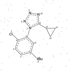 CC(C)(C)c1ccc(Cl)c(-n2nnnc2C2CC2)c1